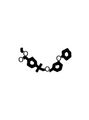 CCOC(=O)c1ccc(C(C)(C)COCc2cccc(Oc3ccccc3)c2)cc1